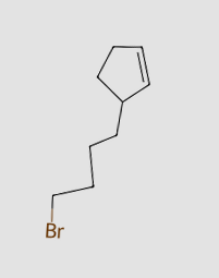 BrCCCCC1C=CCC1